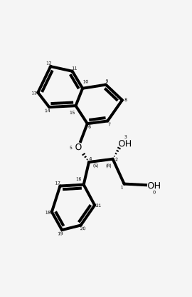 OC[C@@H](O)[C@@H](Oc1cccc2ccccc12)c1ccccc1